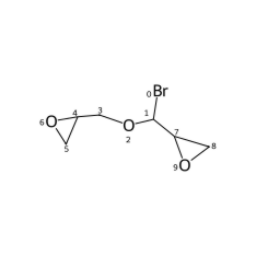 BrC(OCC1CO1)C1CO1